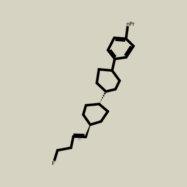 CCCc1ccc(C2CCC([C@H]3CC[C@H](/C=C/CCF)CC3)CC2)cc1